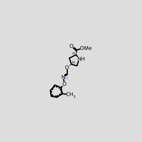 COC(=O)[C@@H]1C[C@@H](O/C=N/Oc2ccccc2C)CN1